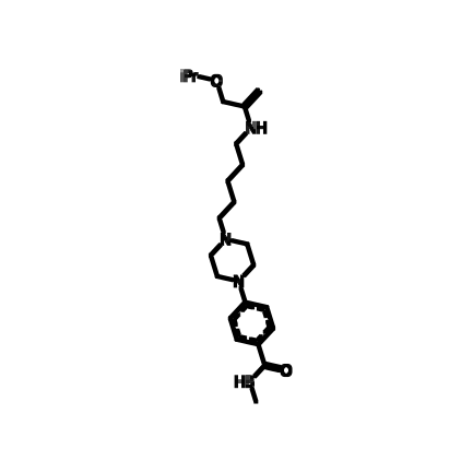 C=C(COC(C)C)NCCCCCN1CCN(c2ccc(C(=O)BC)cc2)CC1